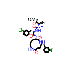 COC(=O)C(NC(=O)N[C@@H](Cc1cccc(Cl)c1)C(=O)N[C@H]1CCCCNC(=O)/C=C/[C@H](Cc2cccc(F)c2)NC1=O)C(C)C